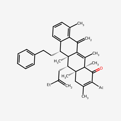 C=C(CC)C[C@@H]1[C@]2(C)C(=C(C)[C@@]3(C)C(=O)C(C(C)=O)=C(C)C[C@@]13C)C(=C)c1c(C)cccc1[C@H]2CCc1ccccc1